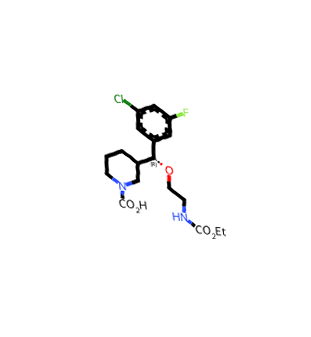 CCOC(=O)NCCO[C@@H](c1cc(F)cc(Cl)c1)C1CCCN(C(=O)O)C1